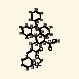 CCOC(=O)C(=Cc1ccccc1)Cc1cc(C(=O)O)ccc1-c1ccccc1P(c1ccccc1)c1ccccc1